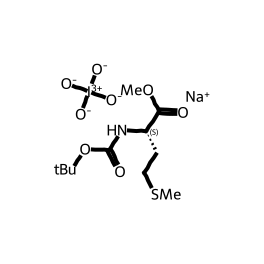 COC(=O)[C@H](CCSC)NC(=O)OC(C)(C)C.[Na+].[O-][I+3]([O-])([O-])[O-]